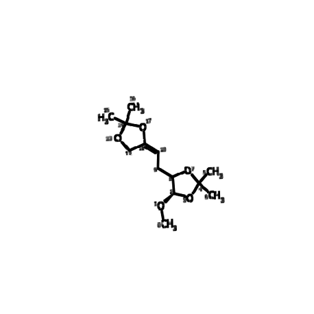 CO[C@@H]1OC(C)(C)OC1C/C=C1\COC(C)(C)O1